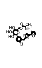 CC(N)C(=O)OC[C@H]1O[C@@H](c2ccc(Cl)c(Cc3ncc(-c4ccco4)s3)c2)[C@H](O)[C@H](O)[C@H]1O